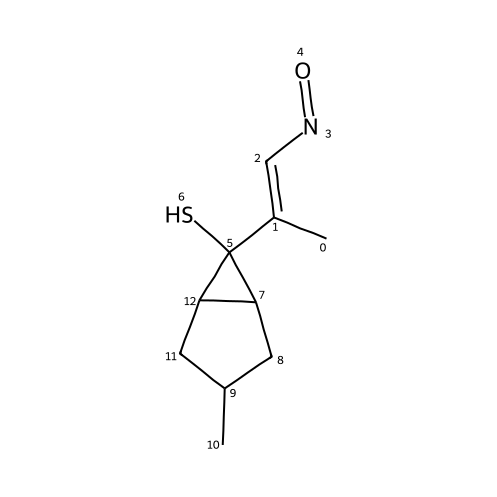 C/C(=C\N=O)C1(S)C2CC(C)CC21